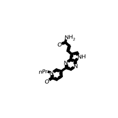 CCCn1cc(-c2cnc3[nH]cc(/C=C/C(N)=O)c3n2)ccc1=O